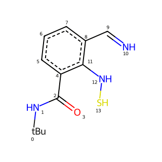 CC(C)(C)NC(=O)c1cccc(C=N)c1NS